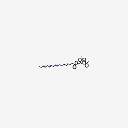 CC/C=C/C/C=C/C/C=C/CCCCCCCC(=O)OCC(COC(C)=O)OC(C)=O